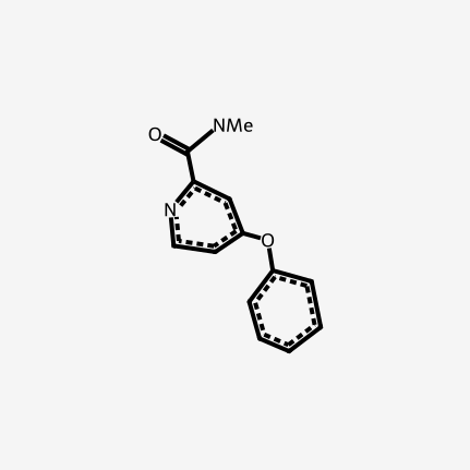 CNC(=O)c1cc(Oc2ccccc2)ccn1